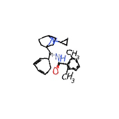 Cc1cccc(C)c1C(=O)N[C@H](C1C=CC=CC1)C12CCC(CC1)N2C1CC1